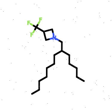 CCCCCCCC(CCCCC)CN1CC(C(F)(F)F)C1